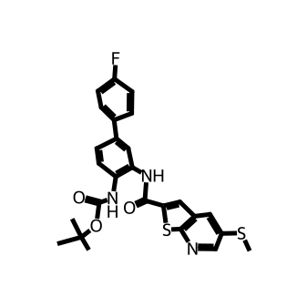 CSc1cnc2sc(C(=O)Nc3cc(-c4ccc(F)cc4)ccc3NC(=O)OC(C)(C)C)cc2c1